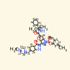 CC(C)[C@@H]1CC[C@@H](C)C[C@H]1OC(=O)n1nc(NC(=O)c2ccc(CN3CCN(C)CC3)cc2)c2oc(C(=O)NC(C)(C)c3ccccc3)cc21